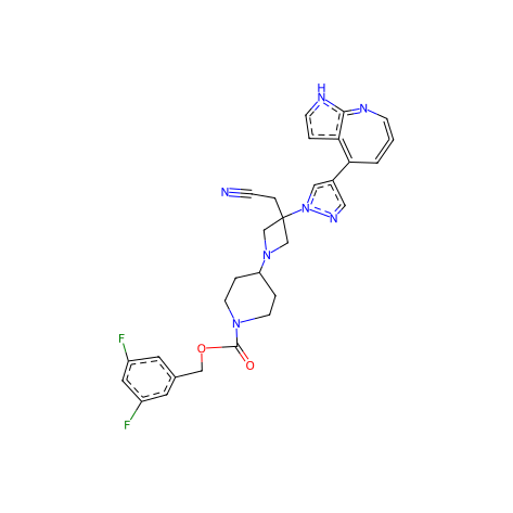 N#CCC1(n2cc(C3=c4cc[nH]c4=NC=C=C3)cn2)CN(C2CCN(C(=O)OCc3cc(F)cc(F)c3)CC2)C1